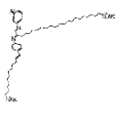 CCCCCCCCCCCCCCCCCCCCC=Cc1ccc(N=C(C=Nc2ccccc2)CCCCCCCCCCCCCCCCCCCCCCCCCCCCCC)cc1.[Ni]